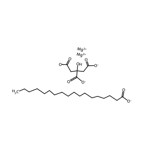 CCCCCCCCCCCCCCCCCC(=O)[O-].O=C([O-])CC(O)(CC(=O)[O-])C(=O)[O-].[Mg+2].[Mg+2]